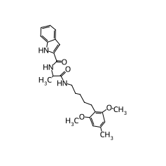 COc1cc(C)cc(OC)c1CCCCCNC(=O)C(C)NC(=O)c1cc2ccccc2[nH]1